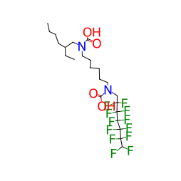 CCCCC(CC)CN(CCCCCCN(CC(F)(F)C(F)(F)C(F)(F)C(F)(F)C(F)(F)C(F)F)C(=O)O)C(=O)O